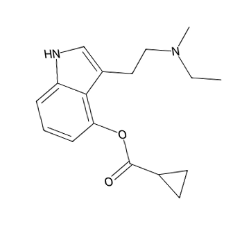 CCN(C)CCc1c[nH]c2cccc(OC(=O)C3CC3)c12